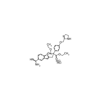 CCOC(=O)C(Cc1cc2cc(C(=N)N)ccc2s1)(C(=O)OCC)c1ccc(OCC2=NCCN2)cc1.Cl.Cl